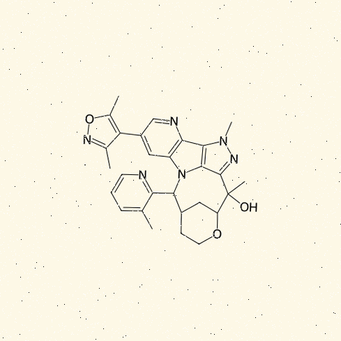 Cc1cccnc1C1C2CCOC(C2)C(C)(O)c2nn(C)c3c4ncc(-c5c(C)noc5C)cc4n1c23